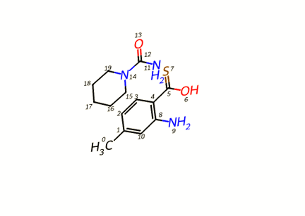 Cc1ccc(C(O)=S)c(N)c1.NC(=O)N1CCCCC1